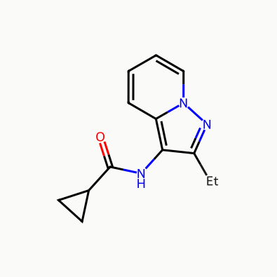 CCc1nn2ccccc2c1NC(=O)C1CC1